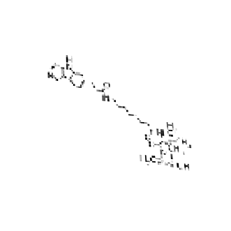 C[C@@H]1C[C@@H](O)CN1C(=O)[C@@H](NC(=O)CCCCCCCNC(=O)CCc1ccc2c(c1)[nH]c1ccncc12)C(C)(C)C